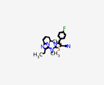 CCc1nc2n(c1N(C)c1nc(-c3ccc(F)cc3)c(C#N)s1)C(C)CC=C2